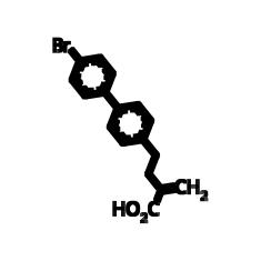 C=C(CCc1ccc(-c2ccc(Br)cc2)cc1)C(=O)O